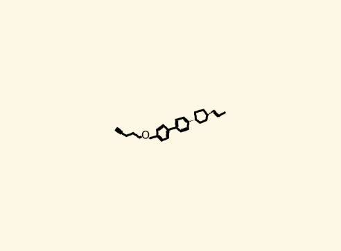 C#CCCCOCc1ccc(-c2ccc([C@H]3CC[C@H](C=CC)CC3)cc2)cc1